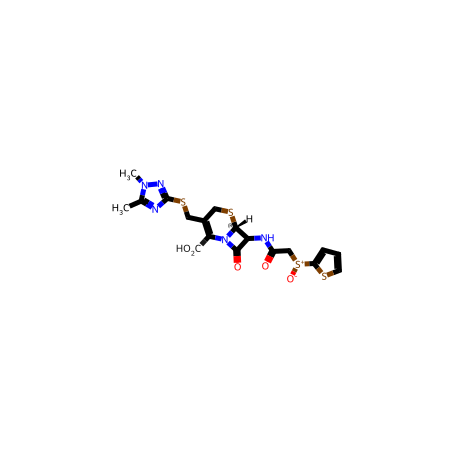 Cc1nc(SCC2=C(C(=O)O)N3C(=O)C(NC(=O)C[S+]([O-])c4cccs4)[C@H]3SC2)nn1C